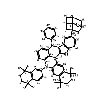 CC1(C)CCC(C)(C)c2cc(N3c4cc5c(cc4B4c6oc7ccc(C89CC%10CC%11CC(C8)C%119C%10)cc7c6N(c6ccccc6)c6cccc3c64)C(C)(C)CCC5(C)C)ccc21